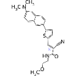 COCCNC(=O)/C(C#N)=C/c1ccc(-c2ccc3cc(N(C)C)ccc3c2)s1